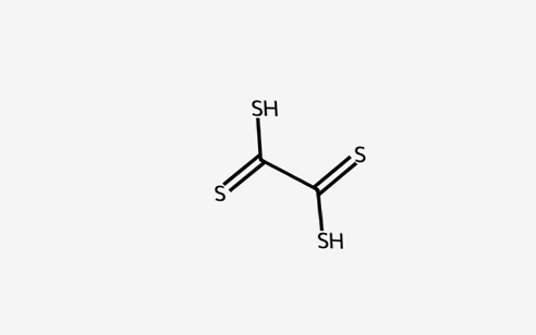 S=C(S)C(=S)S